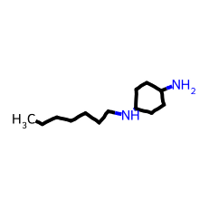 CCCCCCCNC1CCC(N)CC1